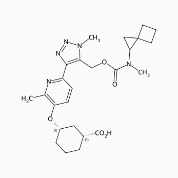 Cc1nc(-c2nnn(C)c2COC(=O)N(C)C2CC23CCC3)ccc1O[C@H]1CCC[C@@H](C(=O)O)C1